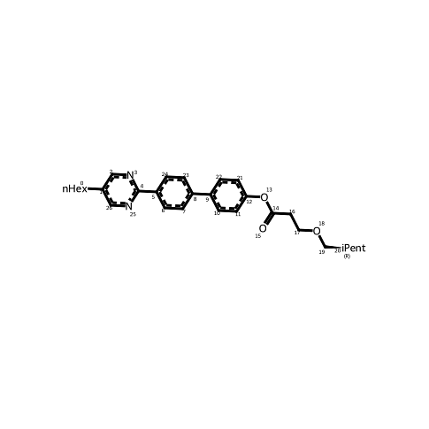 CCCCCCc1cnc(-c2ccc(-c3ccc(OC(=O)CCOC[C@H](C)CCC)cc3)cc2)nc1